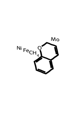 C.C1=Cc2ccccc2OC1.[Fe].[Mo].[Ni]